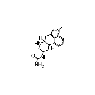 Cn1cc2c3c(cccc31)[C@H]1CC(NC(N)=O)CN[C@@H]1C2